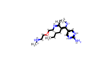 C=N/C(=C(CCCC)\C(C)=N/CCOCCNC)c1cnc(N)nc1